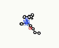 CC1(C)c2ccccc2-c2cc3c4ccccc4n(-c4nc(-c5ccccc5)nc(-c5ccc6c(c5)oc5cc(-c7cccc(-c8ccccc8)c7)ccc56)n4)c3cc21